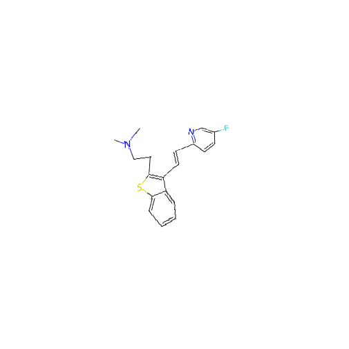 CN(C)CCc1sc2ccccc2c1C=Cc1ccc(F)cn1